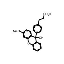 COc1ccc2c(c1)Oc1ccccc1C2(O)c1ccc(CCC(=O)O)cc1